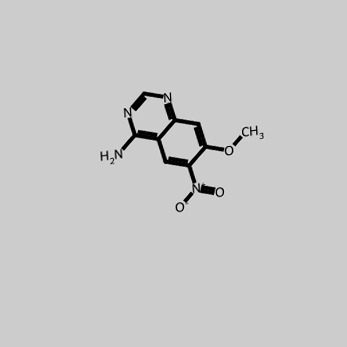 COc1cc2ncnc(N)c2cc1[N+](=O)[O-]